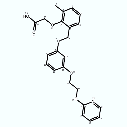 Cc1cccc(COc2cccc(OCCOc3ccccn3)c2)c1OCC(=O)O